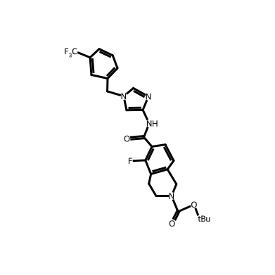 CC(C)(C)OC(=O)N1CCc2c(ccc(C(=O)Nc3cn(Cc4cccc(C(F)(F)F)c4)cn3)c2F)C1